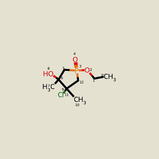 CCOP1(=O)CC(C)(O)C(C)(Cl)C1